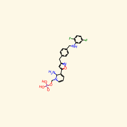 NC1C(c2cc(Cc3ccc(CNc4cc(F)ccc4F)cc3)no2)=CC=CN1COP(=O)(O)O